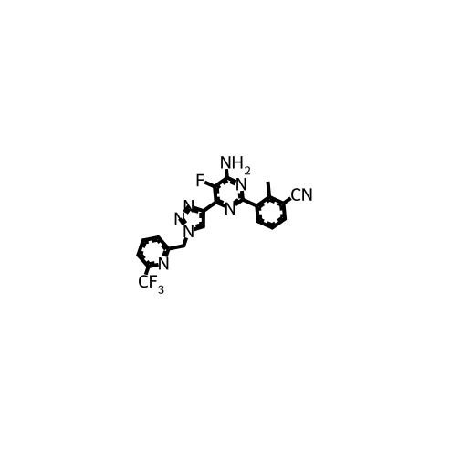 Cc1c(C#N)cccc1-c1nc(N)c(F)c(-c2cn(Cc3cccc(C(F)(F)F)n3)nn2)n1